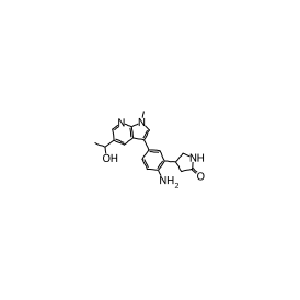 CC(O)c1cnc2c(c1)c(-c1ccc(N)c(C3CNC(=O)C3)c1)cn2C